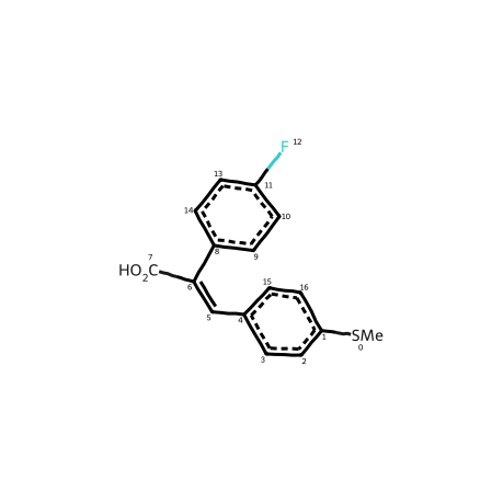 CSc1ccc(C=C(C(=O)O)c2ccc(F)cc2)cc1